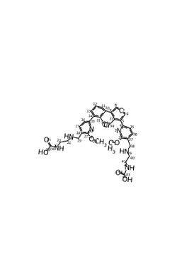 COc1nc(-c2cccc(-c3cccc(-c4ccc(CNCCNC(=O)O)c(OC)n4)c3Cl)c2Cl)ccc1CNCCNC(=O)O